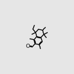 CCC1(C)CC(C)C(C)(C)c2cc(C)c(C=O)c(C)c21